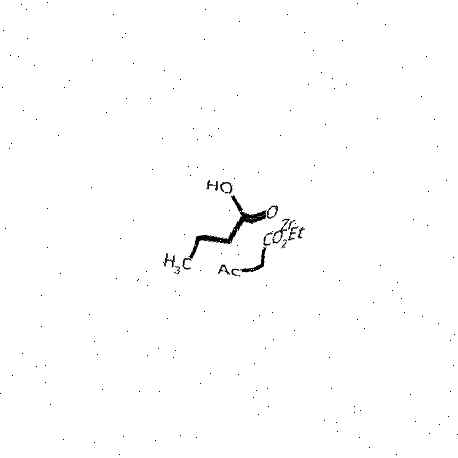 CCCC(=O)O.CCOC(=O)CC(C)=O.[Zr]